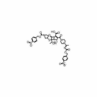 CC(=NC(=O)OCc1ccc([N+](=O)[O-])cc1)N1CCN(C(=O)C2=C(C(=O)O)N3C(=O)C(SC4CCN(C(=O)OCc5ccc([N+](=O)[O-])cc5)C4)(C(C)O)[C@@H]3[C@@H]2C)CC1